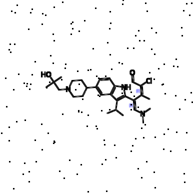 CC(/C(=C\N(C)C)c1[nH]c2ccc(C3CCN(CC(C)(C)O)CC3)cc2c1C(C)C)=C(\Cl)C=O